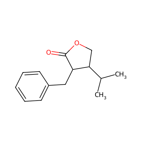 CC(C)C1COC(=O)C1Cc1ccccc1